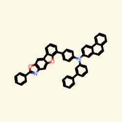 c1ccc(-c2cccc(N(c3ccc(-c4cccc5c4oc4cc6nc(-c7ccccc7)oc6cc45)cc3)c3ccc4c(ccc5ccccc54)c3)c2)cc1